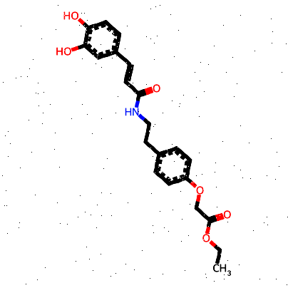 CCOC(=O)COc1ccc(CCNC(=O)/C=C/c2ccc(O)c(O)c2)cc1